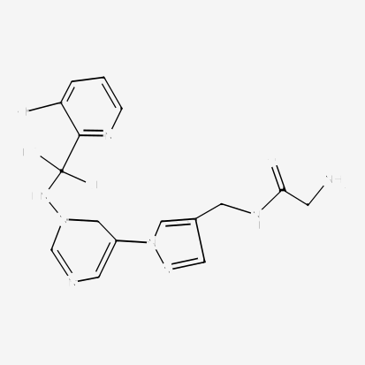 CC(C)(NN1C=NC=C(n2cc(CNC(=O)CN)cn2)C1)c1ncccc1Cl